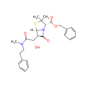 CN(CCc1ccccc1)C(=O)[C@@H](O)[C@@H]1C(=O)N2[C@@H]1SC(C)(C)[C@@H]2C(=O)OCc1ccccc1